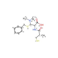 C[C@H](CS)C(=O)NC(C(=O)O)C(SCc1ccccc1)N(C)C